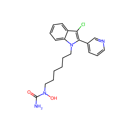 NC(=O)N(O)CCCCCCn1c(-c2cccnc2)c(Cl)c2ccccc21